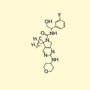 CC1(C)c2cnc(NC3CCOCC3)nc2CN1C(=O)NC(CO)c1cccc(F)c1